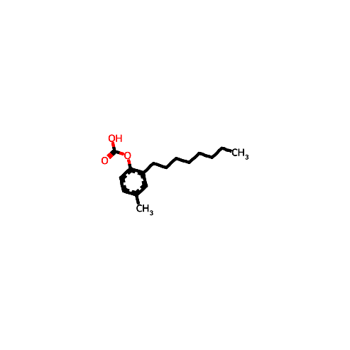 CCCCCCCCc1cc(C)ccc1OC(=O)O